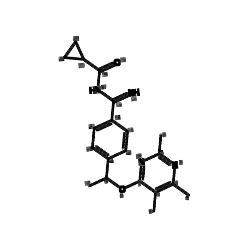 Cc1nc(C)c(C)c(OC(C)c2ccc(C(=N)NC(=O)C3CC3)cc2)n1